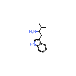 CC(C)[C@H](N)Cc1c[nH]c2ccccc12